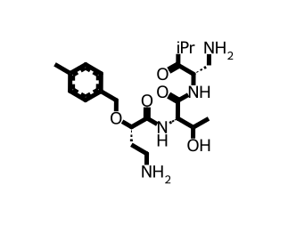 Cc1ccc(CO[C@@H](CCN)C(=O)N[C@H](C(=O)N[C@@H](CN)C(=O)C(C)C)C(C)O)cc1